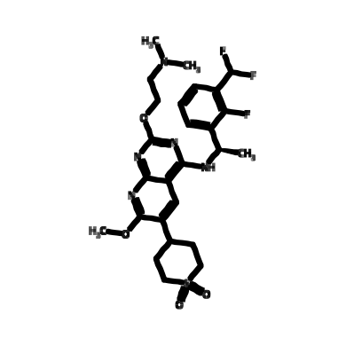 COc1nc2nc(OCCN(C)C)nc(N[C@H](C)c3cccc(C(F)F)c3F)c2cc1C1CCS(=O)(=O)CC1